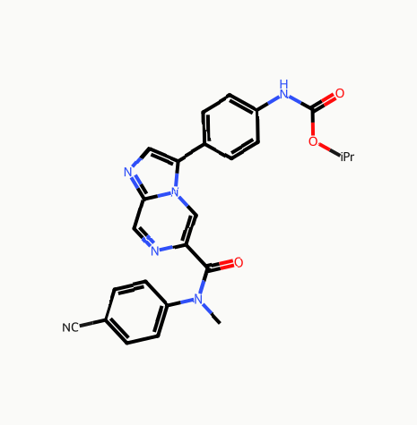 CC(C)OC(=O)Nc1ccc(-c2cnc3cnc(C(=O)N(C)c4ccc(C#N)cc4)cn23)cc1